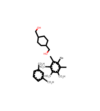 Cc1[c]([Na])c(C)c(C(=O)O)c(S(=O)(=O)O)c1C(=O)O.O=C(O)c1cccc(C(=O)O)c1.OCC1CCC(CO)CC1